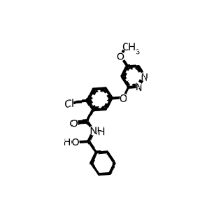 COc1cnnc(Oc2ccc(Cl)c(C(=O)NC(O)C3CCCCC3)c2)c1